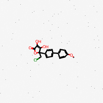 COc1ccc(-c2ccc(C3(CCl)OC(=O)C(O)=C3O)cc2)cc1